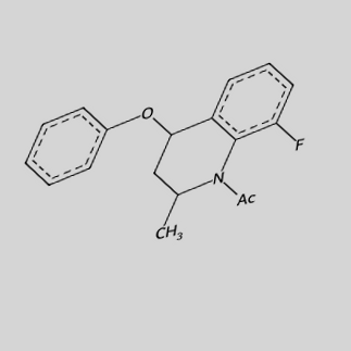 CC(=O)N1c2c(F)cccc2C(Oc2ccccc2)CC1C